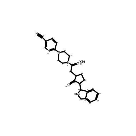 Cl.N#Cc1ccc(N2CCN(C(=O)CC3CCC(C4NCc5ccccc54)C3=O)CC2)nc1